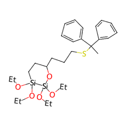 CCO[Si]1(OCC)CCC(CCCSC(C)(c2ccccc2)c2ccccc2)O[Si]1(OCC)OCC